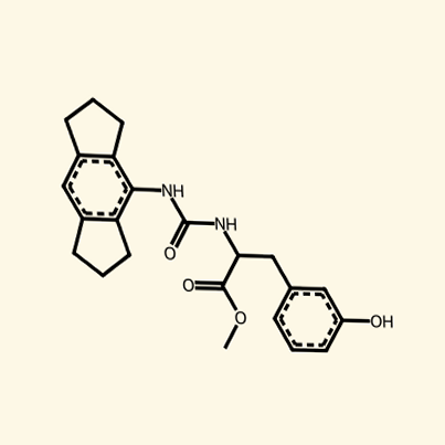 COC(=O)C(Cc1cccc(O)c1)NC(=O)Nc1c2c(cc3c1CCC3)CCC2